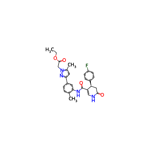 CCOC(=O)Cn1nc(-c2ccc(C)c(NC(=O)C3=CNC(=O)C[C@@H]3c3ccc(F)cc3)c2)cc1C